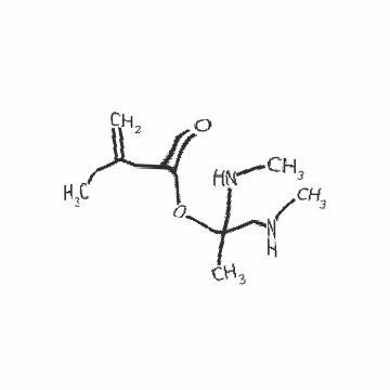 C=C(C)C(=O)OC(C)(NC)NC